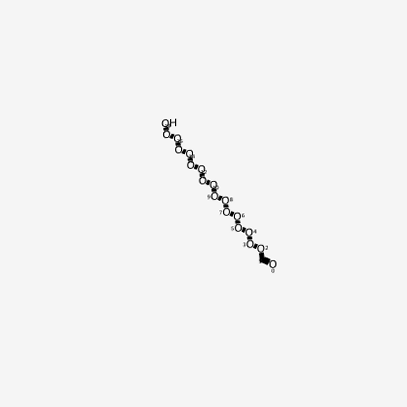 O=COOOOOOOOOOOOOOOOO